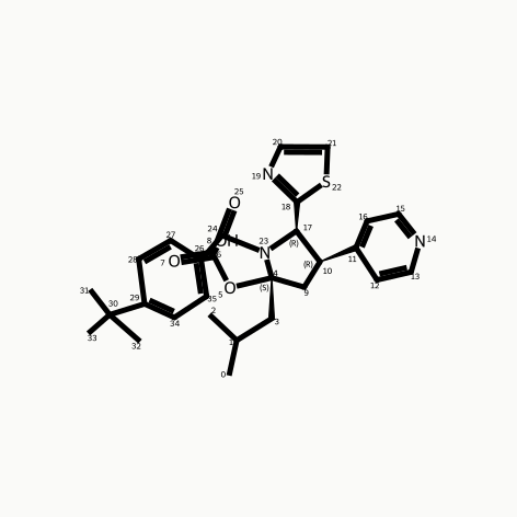 CC(C)C[C@]1(OC(=O)O)C[C@H](c2ccncc2)[C@H](c2nccs2)N1C(=O)c1ccc(C(C)(C)C)cc1